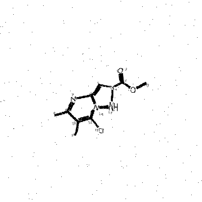 COC(=O)N1C=C2N=C(C)C(C)=C(Cl)N2N1